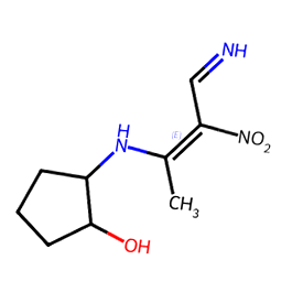 C/C(NC1CCCC1O)=C(/C=N)[N+](=O)[O-]